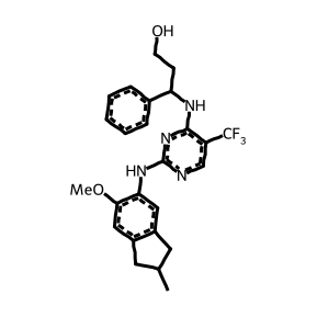 COc1cc2c(cc1Nc1ncc(C(F)(F)F)c(NC(CCO)c3ccccc3)n1)CC(C)C2